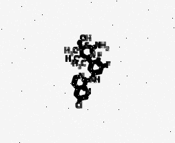 C[C@@H]1[C@@](C)(CO)SC(N)=N[C@]1(C)c1cc(Nc2nccc3cc(Cl)cnc23)cc(F)c1F